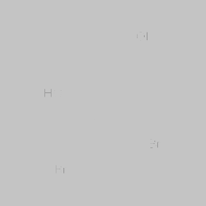 OCC(CBr)C(O)CBr